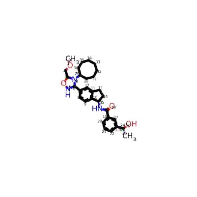 COCC1ONC(c2ccc3c(c2)CC[C@H]3NC(=O)c2cccc([C@@H](C)O)c2)N1C1CCCCCCC1